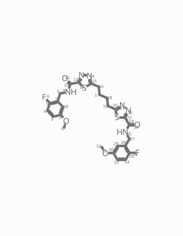 COc1ccc(F)c(CNC(=O)c2nnc(CCCCc3nnc(C(=O)NCc4cc(OC)ccc4F)s3)s2)c1